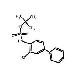 CC(C)(C)NS(=O)(=O)Nc1ccc(-c2ccccc2)cc1Cl